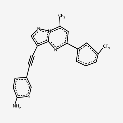 Nc1ccc(C#Cc2cnn3c(C(F)(F)F)cc(-c4cccc(C(F)(F)F)c4)nc23)cn1